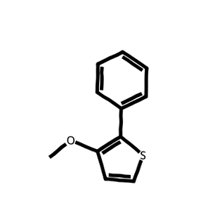 COc1ccsc1-c1ccccc1